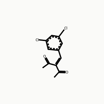 CC(=O)C(=Cc1cc(Cl)cc(Cl)c1)C(C)=O